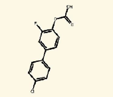 O=C(O)Oc1ccc(-c2ccc(Cl)cc2)cc1F